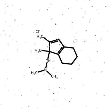 CC1=CC2=C(CCCC2)[C]1(C)[Ti+2][N](C)C.[Cl-].[Cl-]